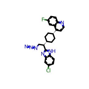 [N-]=[N+]=NCC(c1nc2cc(Cl)ccc2[nH]1)[C@H]1CC[C@@H](c2ccnc3ccc(F)cc32)CC1